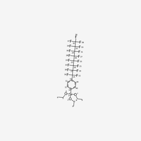 CCO[Si](OCC)(OCC)c1ccc(C(F)(F)C(F)(F)C(F)(F)C(F)(F)C(F)(F)C(F)(F)C(F)(F)C(F)(F)F)cc1